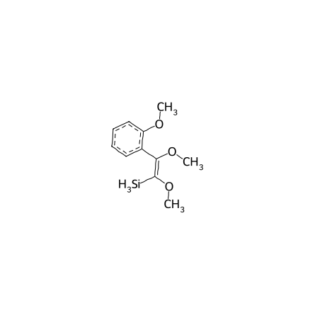 COC([SiH3])=C(OC)c1ccccc1OC